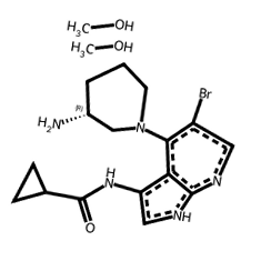 CO.CO.N[C@@H]1CCCN(c2c(Br)cnc3[nH]cc(NC(=O)C4CC4)c23)C1